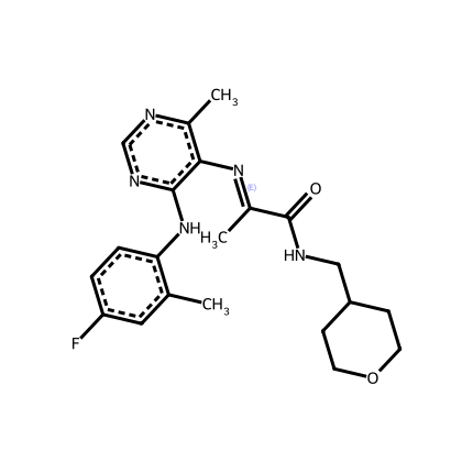 C/C(=N\c1c(C)ncnc1Nc1ccc(F)cc1C)C(=O)NCC1CCOCC1